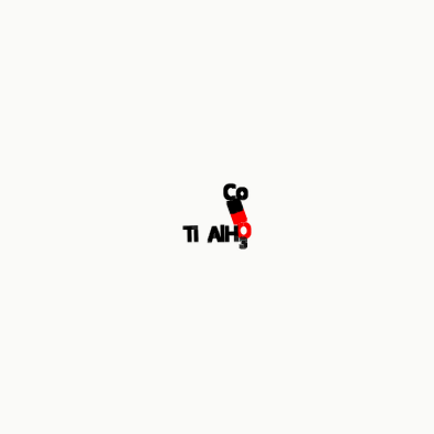 [AlH3].[O]=[Co].[Ti]